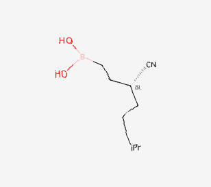 CC(C)CC[C@@H](C#N)CCB(O)O